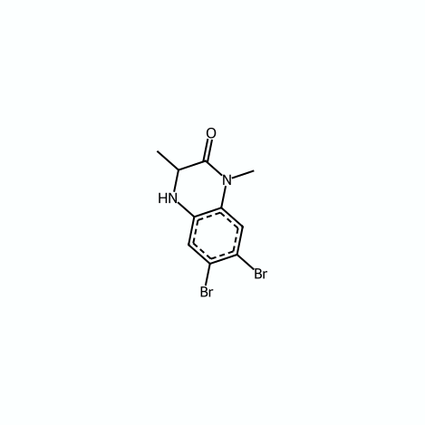 CC1Nc2cc(Br)c(Br)cc2N(C)C1=O